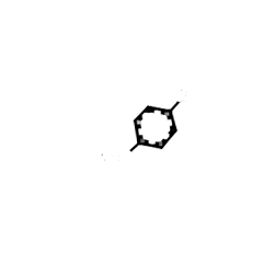 CC(=O)Oc1ccc(Br)cc1